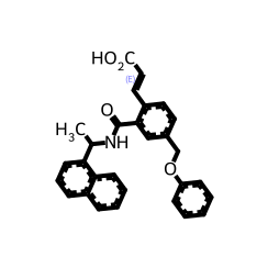 CC(NC(=O)c1cc(COc2ccccc2)ccc1/C=C/C(=O)O)c1cccc2ccccc12